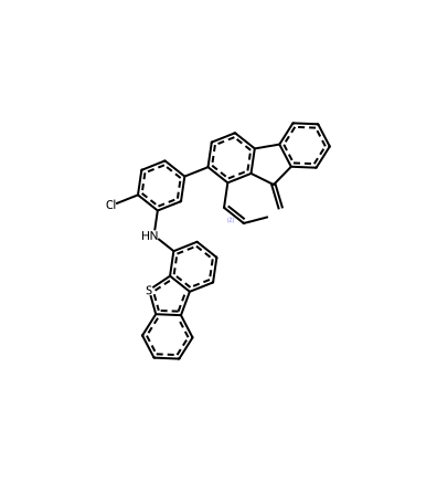 C=C1c2ccccc2-c2ccc(-c3ccc(Cl)c(Nc4cccc5c4sc4ccccc45)c3)c(/C=C\C)c21